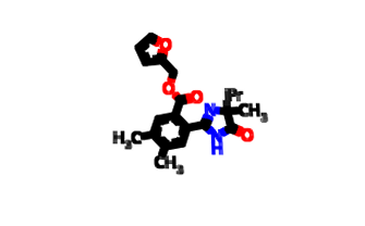 Cc1cc(C(=O)OCc2ccco2)c(C2=NC(C)(C(C)C)C(=O)N2)cc1C